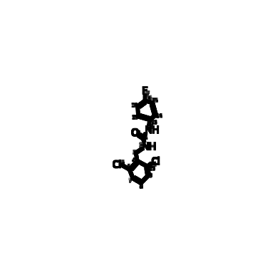 O=C(NCc1c(Cl)cccc1Cl)Nc1ccc(F)cc1